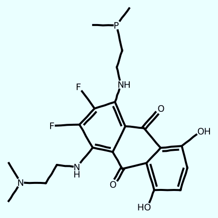 CN(C)CCNc1c(F)c(F)c(NCCP(C)C)c2c1C(=O)c1c(O)ccc(O)c1C2=O